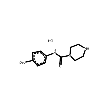 CCCCCCCCCCc1ccc(NC(=O)N2CCNCC2)cc1.Cl